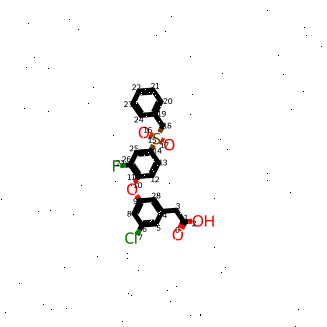 O=C(O)Cc1cc(Cl)cc(Oc2ccc(S(=O)(=O)Cc3ccccc3)cc2F)c1